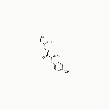 N[C@@H](Cc1ccc(O)cc1)C(=O)OCC(O)CO